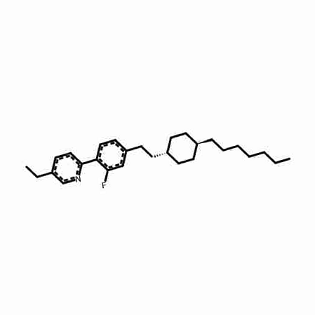 CCCCCCC[C@H]1CC[C@H](CCc2ccc(-c3ccc(CC)cn3)c(F)c2)CC1